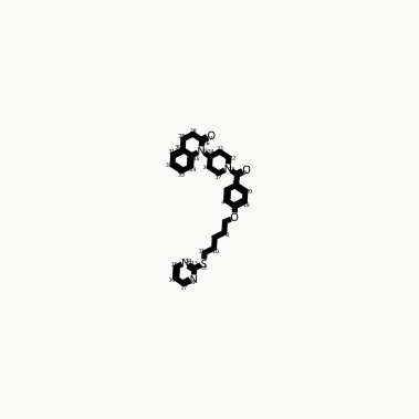 O=C(c1ccc(OCCCCCSc2ncccn2)cc1)N1CCC(N2C(=O)CCc3ccccc32)CC1